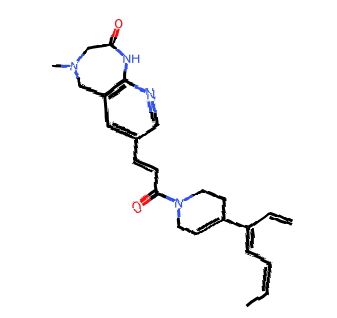 C=C/C(=C\C=C/C)C1=CCN(C(=O)/C=C/c2cnc3c(c2)CN(C)CC(=O)N3)CC1